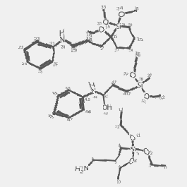 CCO[Si](CCCN)(OCC)OCC.COC1(CCCNc2ccccc2)CCCC[Si]1(OC)OC.CO[Si](C)(CCC(O)Nc1ccccc1)OC